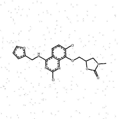 CN1CC(COc2c(Cl)ccc3c(NCc4ccco4)nc(Cl)nc23)OC1=O